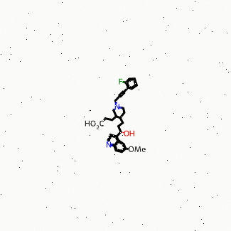 COc1ccc2nccc([C@@H](O)CCC3CCN(CC#Cc4ccccc4F)CC3CCC(=O)O)c2c1